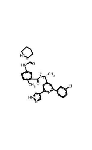 Cc1ccc(NC(=O)[C@H]2CCCCN2)cc1C(=O)N[C@H](C)c1cc(-c2cn[nH]c2)nc(-c2cccc(Cl)c2)c1